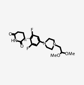 COC(CN1CCN(c2cc(F)c([C@H]3CCC(=O)NC3=O)c(F)c2)CC1)OC